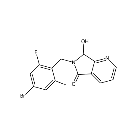 O=C1c2cccnc2C(O)N1Cc1c(F)cc(Br)cc1F